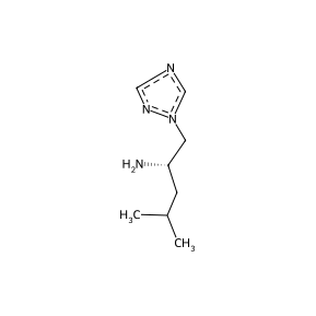 CC(C)C[C@H](N)Cn1cncn1